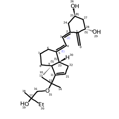 C=C1/C(=C\C=C2/CCC[C@]3(C)C(C(C)(C)OCC(C)(O)CC)=CC[C@@H]23)C[C@@H](O)C[C@@H]1O